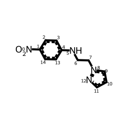 O=[N+]([O-])c1ccc(NCCn2cccn2)cc1